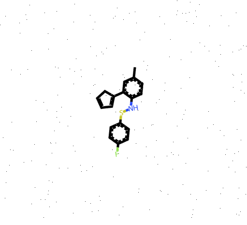 Cc1ccc(NSc2ccc(F)cc2)c(C2=CC=CC2)c1